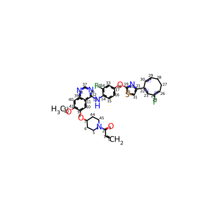 C=CC(=O)N1CCC(Oc2cc3c(Nc4ccc(Oc5nc(C6=C/C(F)=C\CC/C=C\6)cs5)cc4F)ncnc3cc2OC)CC1